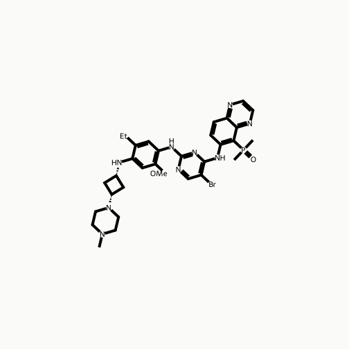 CCc1cc(Nc2ncc(Br)c(Nc3ccc4nccnc4c3P(C)(C)=O)n2)c(OC)cc1N[C@H]1C[C@@H](N2CCN(C)CC2)C1